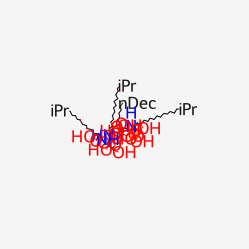 CCCCCCCCCCCCCCCC(=O)O[C@H](CCCCCCCCCCCC(C)C)CC(=O)N[C@@H]1[C@H](OC[C@H]2O[C@@H](OP(=O)(O)O)[C@@H](NC(=O)C[C@H](O)CCCCCCCCCCCC(C)C)[C@@H](O)[C@@H]2O)O[C@H](CO)[C@@H](O)[C@@H]1ONC(=O)C[C@H](O)CCCCCCCCCC(C)C